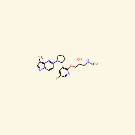 Cc1cnn2ccc(N3CCC[C@@H]3c3cc(F)cnc3OC[C@H](O)CNC=O)nc12